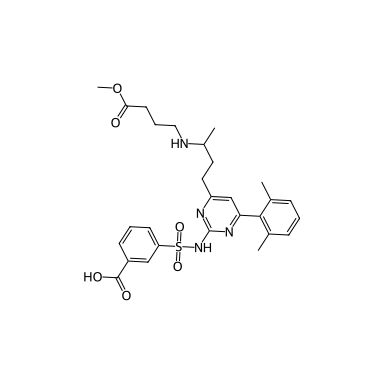 COC(=O)CCCNC(C)CCc1cc(-c2c(C)cccc2C)nc(NS(=O)(=O)c2cccc(C(=O)O)c2)n1